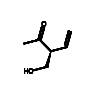 C=C[C@@H](CO)C(C)=O